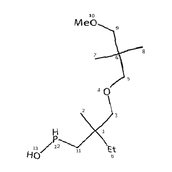 CCC(C)(COCC(C)(C)COC)CPO